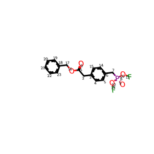 O=C(Cc1ccc(CP(=O)(OF)OF)cc1)OCc1ccccc1